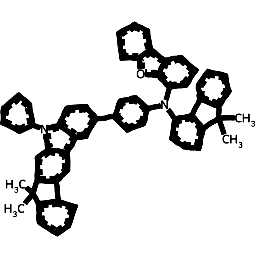 CC1(C)c2ccccc2-c2cc3c4cc(-c5ccc(N(c6cccc7c6-c6ccccc6C7(C)C)c6cccc7c6oc6ccccc67)cc5)ccc4n(-c4ccccc4)c3cc21